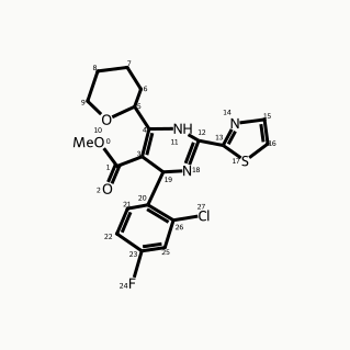 COC(=O)C1=C(C2CCCCO2)NC(c2nccs2)=NC1c1ccc(F)cc1Cl